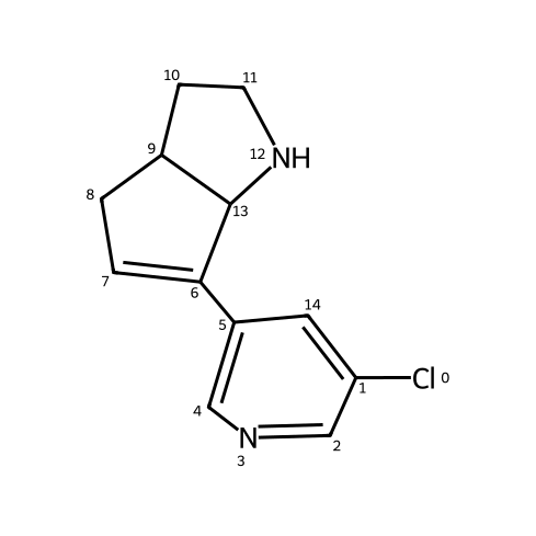 Clc1cncc(C2=CCC3CCNC23)c1